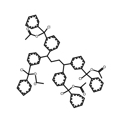 CC(=O)OC(Cl)(c1ccccc1)c1cccc(C(CCC(c2cccc(C(Cl)(OC(C)=O)c3ccccc3)c2)c2cccc(C(Cl)(OC(C)=O)c3ccccc3)c2)c2cccc(C(Cl)(OC(C)=O)c3ccccc3)c2)c1